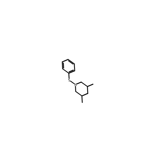 CC1CC(C)CN(Sc2ccccc2)C1